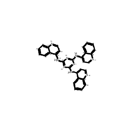 c1ccc2c(Nc3nc(Nc4ccnc5ccccc45)nc(Nc4ccnc5ccccc45)n3)ccnc2c1